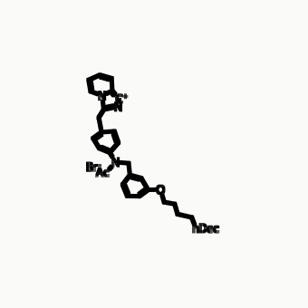 CCCCCCCCCCCCCCOc1cccc(CN(C(C)=O)c2ccc(CC3=N[C+]=C4C=CC=CN43)cc2)c1.[Br-]